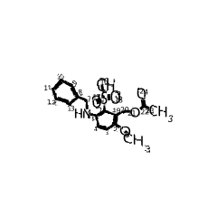 COc1ccc(NCc2ccccc2)c(S(C)(=O)=O)c1COC(C)=O